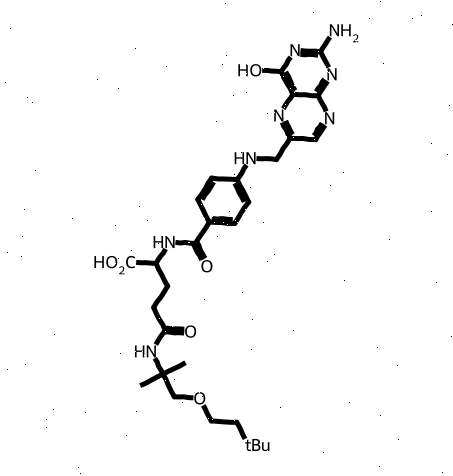 CC(C)(C)CCOCC(C)(C)NC(=O)CCC(NC(=O)c1ccc(NCc2cnc3nc(N)nc(O)c3n2)cc1)C(=O)O